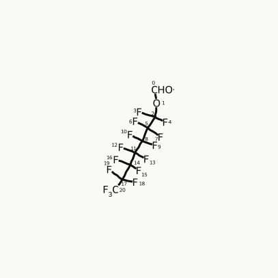 O=[C]OC(F)(F)C(F)(F)C(F)(F)C(F)(F)C(F)(F)C(F)(F)C(F)(F)F